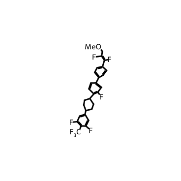 COC/C(F)=C(\F)c1ccc(-c2ccc(C3CCC(c4cc(F)c(C(F)(F)F)c(F)c4)CC3)c(F)c2)cc1